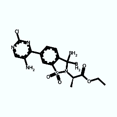 BC1(B)c2ccc(-c3nc(Cl)ncc3N)cc2S(=O)(=O)N1[C@H](C)C(=O)OCC